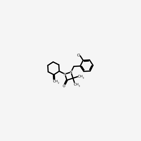 C=C1CCCCC1N1C(=O)C(C)(C)N1Cc1ccccc1Cl